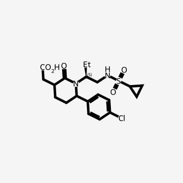 CC[C@@H](CNS(=O)(=O)C1CC1)N1C(=O)C(CC(=O)O)CCC1c1ccc(Cl)cc1